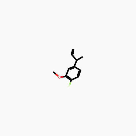 C=C[C](C)c1ccc(F)c(OC)c1